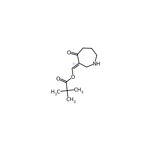 CC(C)(C)C(=O)O/C=C1\CNCCCC1=O